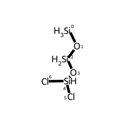 [SiH3]O[SiH2]O[SiH](Cl)Cl